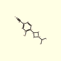 CC(C)N1CC(c2ccc(C#N)cc2F)C1